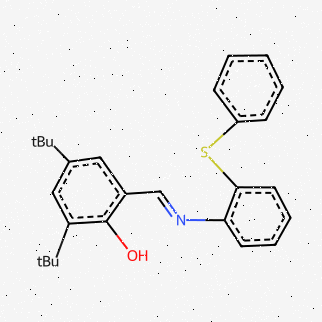 CC(C)(C)c1cc(/C=N/c2ccccc2Sc2ccccc2)c(O)c(C(C)(C)C)c1